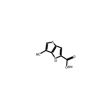 COC(=O)c1cc2scc(C#N)c2[nH]1